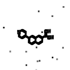 OB(O)c1ccc2ccc(-c3ccncc3)cc2c1